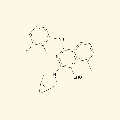 Cc1c(F)cccc1Nc1nc(N2CC3CC3C2)c(C=O)c2c(C)cccc12